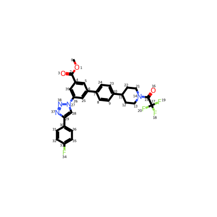 COC(=O)c1cc(-c2ccc(C3CCN(C(=O)C(F)(F)F)CC3)cc2)cc(-n2cc(-c3ccc(F)cc3)nn2)c1